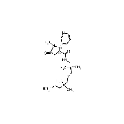 CN1C(=O)C[C@H](C(=O)NCC(C)(C)COCC(C)(C)CCC(=O)O)[C@H]1c1cccnc1